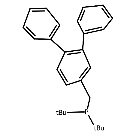 CC(C)(C)P(Cc1ccc(-c2ccccc2)c(-c2ccccc2)c1)C(C)(C)C